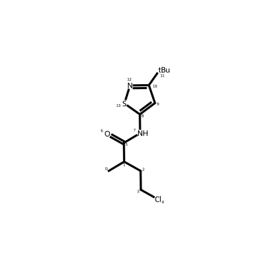 CC(CCCl)C(=O)Nc1cc(C(C)(C)C)ns1